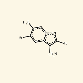 CCc1nn2cc(C)c(Br)cc2c1C(=O)O